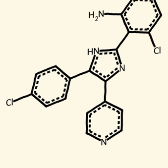 Nc1cccc(Cl)c1-c1nc(-c2ccncc2)c(-c2ccc(Cl)cc2)[nH]1